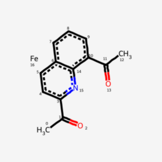 CC(=O)c1ccc2cccc(C(C)=O)c2n1.[Fe]